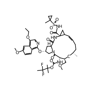 CCOc1cnc(O[C@@H]2C[C@H]3C(=O)N[C@]4(C(=O)NS(=O)(=O)C5(C)CC5)CC4/C=C\CC[C@H](C)C[C@@H](COC)[C@H](NC(=O)OC(C)(C)C(C)(F)F)C(=O)N3C2)c2ccc(OC)cc12